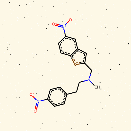 CN(CCc1ccc([N+](=O)[O-])cc1)Cc1cc2cc([N+](=O)[O-])ccc2s1